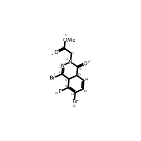 COC(=O)CN1N=C(Br)C2C(F)=C(Br)C=CC2C1=O